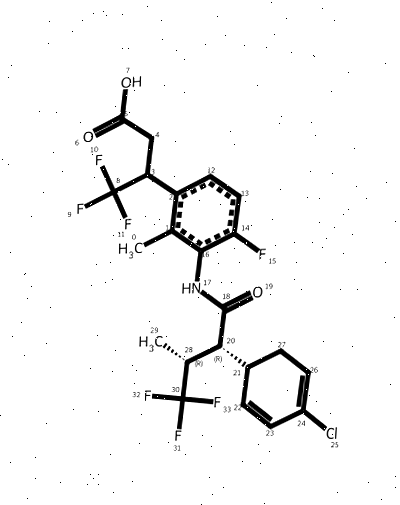 Cc1c(C(CC(=O)O)C(F)(F)F)ccc(F)c1NC(=O)[C@H](C1C=CC(Cl)=CC1)[C@@H](C)C(F)(F)F